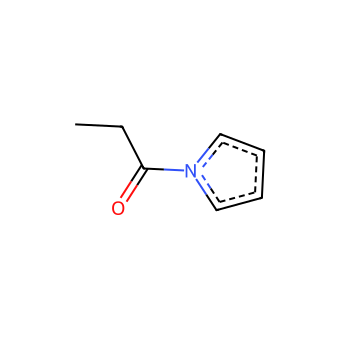 CCC(=O)n1cccc1